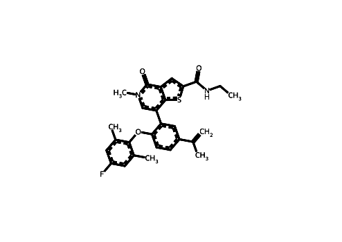 C=C(C)c1ccc(Oc2c(C)cc(F)cc2C)c(-c2cn(C)c(=O)c3cc(C(=O)NCC)sc23)c1